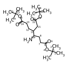 CC(C)(C)OC(=O)CCC(N)C(CCC(=O)OC(C)(C)C)CC(=O)OC(C)(C)C